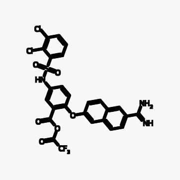 N=C(N)c1ccc2cc(Oc3ccc(NS(=O)(=O)c4cccc(Cl)c4Cl)cc3C(=O)OC(=O)C(F)(F)F)ccc2c1